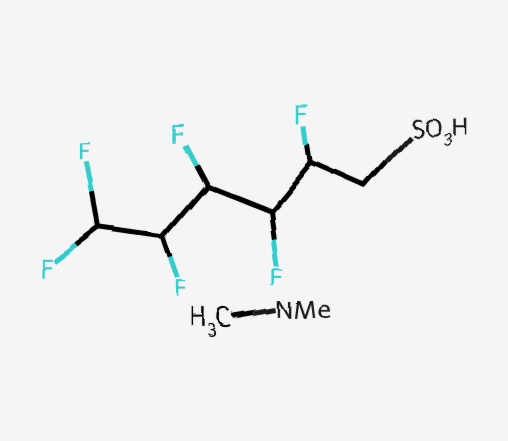 CNC.O=S(=O)(O)CC(F)C(F)C(F)C(F)C(F)F